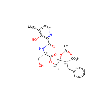 COc1ccnc(C(=O)N[C@@H](CO)C(=O)O[C@@H](C)[C@H](OC(=O)C(C)C)[C@@H](Cc2ccccc2)C(=O)O)c1O